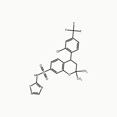 CC1(C)CC(c2ccc(C(F)(F)F)cc2Cl)c2ccc(S(=O)(=O)Nc3ncns3)cc2O1